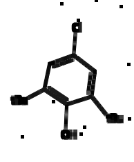 CC(C)(C)c1cc(Cl)cc(C(C)(C)C)c1O